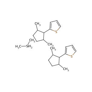 CC1CCC(C)C1c1cccs1.CC1CCC(C)C1c1cccs1.C[SiH2]C